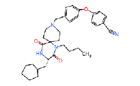 CCCCN1C(=O)[C@H](CC2CCCCC2)NC(=O)C12CCN(Cc1ccc(Oc3ccc(C#N)cc3)cc1)CC2